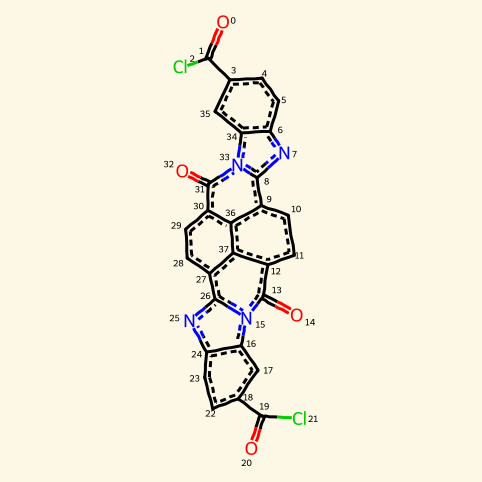 O=C(Cl)c1ccc2nc3c4ccc5c(=O)n6c7cc(C(=O)Cl)ccc7nc6c6ccc(c(=O)n3c2c1)c4c56